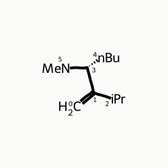 C=C(C(C)C)[C@@H](CCCC)NC